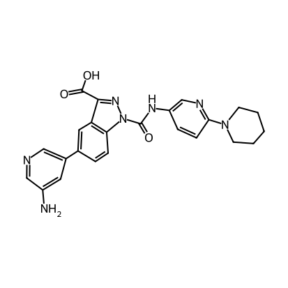 Nc1cncc(-c2ccc3c(c2)c(C(=O)O)nn3C(=O)Nc2ccc(N3CCCCC3)nc2)c1